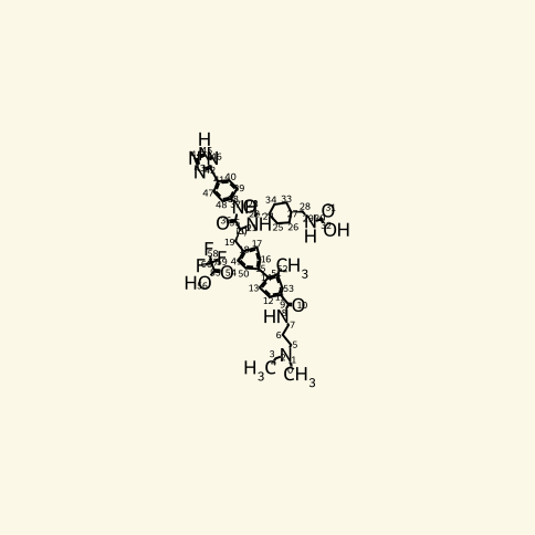 CCN(CC)CCCNC(=O)c1ccc(-c2ccc(C[C@H](NC(=O)[C@H]3CC[C@H](CNC(=O)O)CC3)C(=O)Nc3ccc(-c4nn[nH]n4)cc3)cc2)c(C)c1.O=C(O)C(F)(F)F